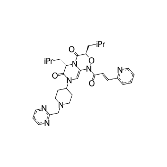 CC(C)C[C@H]1ON(C(=O)/C=C/c2ccccn2)C2=CN(C3CCN(Cc4ncccn4)CC3)C(=O)[C@H](CC(C)C)N2C1=O